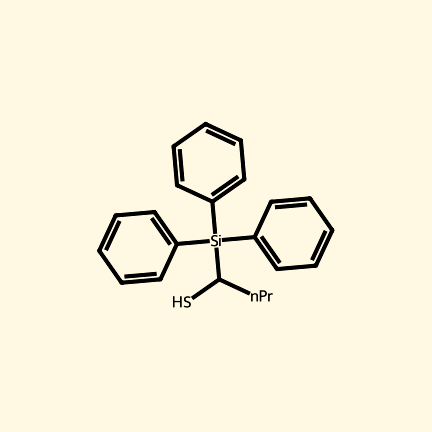 CCCC(S)[Si](c1ccccc1)(c1ccccc1)c1ccccc1